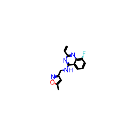 C=Cc1nc(NCc2cc(C)on2)c2cccc(F)c2n1